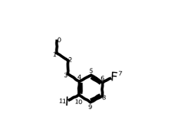 CCCCc1cc(F)ccc1I